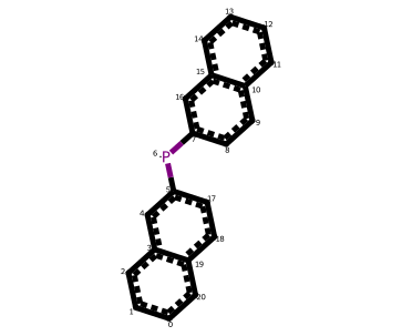 c1ccc2cc([P]c3ccc4ccccc4c3)ccc2c1